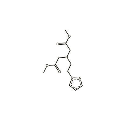 COC(=O)CN(CCn1cccn1)CC(=O)OC